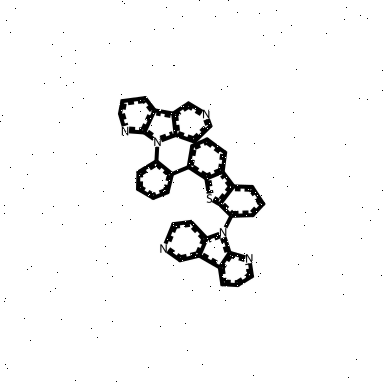 c1ccc(-n2c3ccncc3c3cccnc32)c(-c2cccc3c2sc2c(-n4c5ccncc5c5cccnc54)cccc23)c1